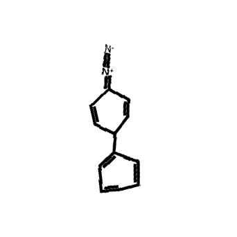 [N-]=[N+]=C1C=CC(c2ccccc2)C=C1